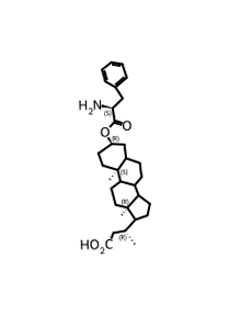 C[C@H](CC(=O)O)C1CCC2C3CCC4C[C@H](OC(=O)[C@@H](N)Cc5ccccc5)CC[C@]4(C)C3CC[C@@]21C